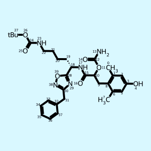 Cc1cc(O)cc(C)c1CC(OC(N)=O)C(=O)N[C@@H](CCCCNC(=O)OC(C)(C)C)c1nc(Cc2ccccc2)no1